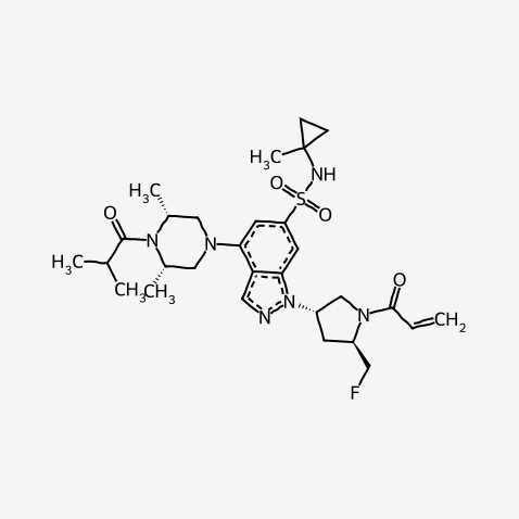 C=CC(=O)N1C[C@@H](n2ncc3c(N4C[C@@H](C)N(C(=O)C(C)C)[C@@H](C)C4)cc(S(=O)(=O)NC4(C)CC4)cc32)C[C@@H]1CF